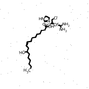 C1=NCCN1.CCCCCCC(O)C/C=C\CCCCCCCC(=O)O.NC(N)=S.O=C(O)CCl